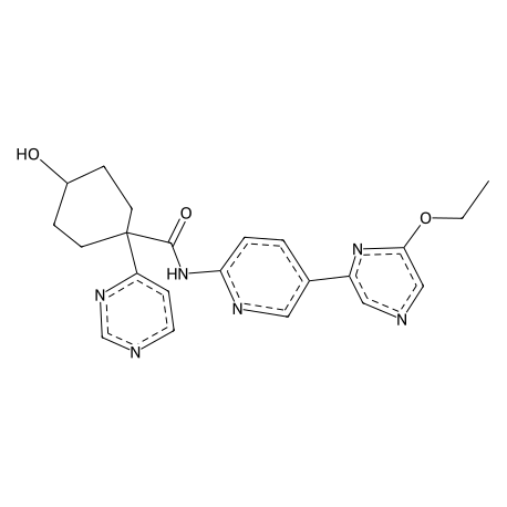 CCOc1cncc(-c2ccc(NC(=O)C3(c4ccncn4)CCC(O)CC3)nc2)n1